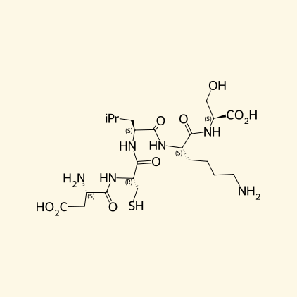 CC(C)C[C@H](NC(=O)[C@H](CS)NC(=O)[C@@H](N)CC(=O)O)C(=O)N[C@@H](CCCCN)C(=O)N[C@@H](CO)C(=O)O